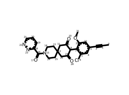 CC#Cc1cc(Cl)c(C2C(=O)CC3(CCN(C(=O)c4cccnn4)CC3)CC2=O)c(OC)c1